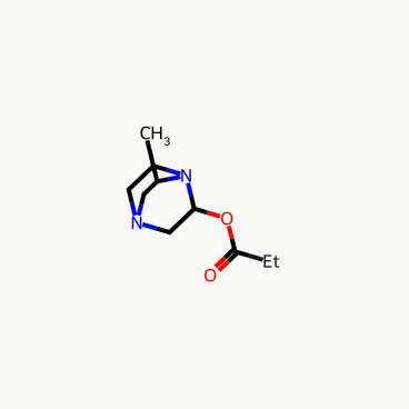 CCC(=O)OC1CN2CCN1C(C)C2